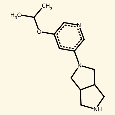 CC(C)Oc1cncc(N2CC3CNCC3C2)c1